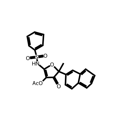 CC(=O)OC1=C(NS(=O)(=O)c2ccccc2)OC(C)(c2ccc3ccccc3c2)C1=O